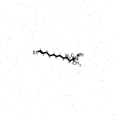 CCC=CCCCCCCCCC(C)(C)[N]CCC